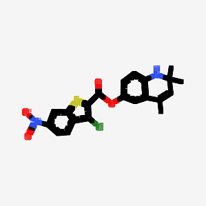 CC1=CC(C)(C)Nc2ccc(OC(=O)c3sc4cc([N+](=O)[O-])ccc4c3Cl)cc21